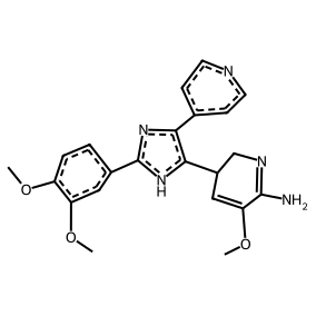 COC1=CC(c2[nH]c(-c3ccc(OC)c(OC)c3)nc2-c2ccncc2)CN=C1N